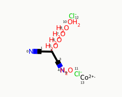 N#CCC#N.O.O.O.O.O.O.[Cl-].[Cl-].[Co+2]